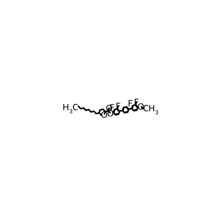 CCCCCCCCCC1CCC(C(=O)Oc2ccc(-c3ccc(-c4ccc(OCC)c(F)c4F)cc3)c(F)c2F)OC1